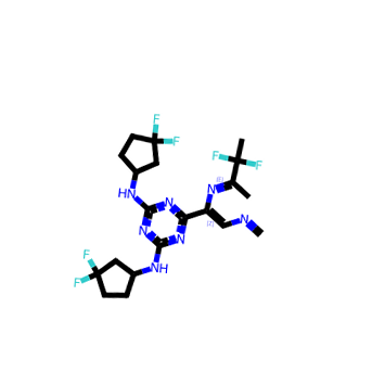 C=N/C=C(\N=C(/C)C(C)(F)F)c1nc(NC2CCC(F)(F)C2)nc(NC2CCC(F)(F)C2)n1